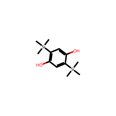 C[Si](C)(C)c1cc(O)c([Si](C)(C)C)cc1O